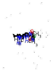 COc1cc([C@@H](C)C(=O)N2CC[C@@]3(CCc4cc(C5=CC=C(C6CC6)NN5)c(C)nc4N3)C2)c(F)cn1